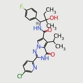 CCC(C)(O)[C@@H](NC(=O)c1cn2nc(-c3ccc(Cl)cn3)[nH]c(=O)c2c1C(C)C)c1ccc(F)cc1